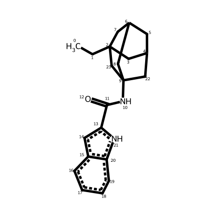 CCC12CC3CC(C1)CC(NC(=O)c1cc4ccccc4[nH]1)(C3)C2